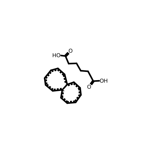 O=C(O)CCCCC(=O)O.c1cccc2ccccccc-2cc1